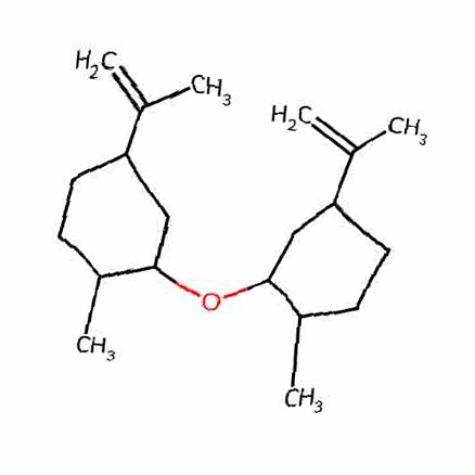 C=C(C)C1CCC(C)C(OC2CC(C(=C)C)CCC2C)C1